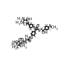 CC(C)[C@H](N)C(=O)O.CSc1ccc(C(O)CS[C@H]2C(=O)N(c3ccc(F)cc3)[C@@H]2c2ccc(OCC(=O)NCC(=O)N[C@@H](C(=O)O)C(C)(C)C)cc2)cc1